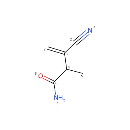 C=C(C#N)C(C)C(N)=O